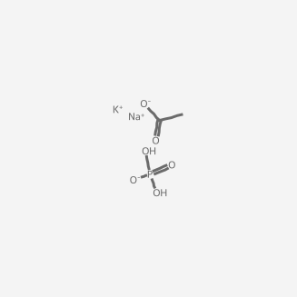 CC(=O)[O-].O=P([O-])(O)O.[K+].[Na+]